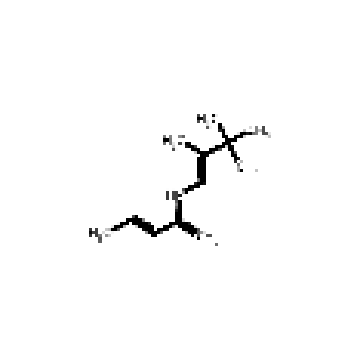 C=C(/C=C/C)N/C=C(\C)C(C)(C)C